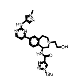 Cn1cc(Nc2nccc(-c3ccc4c(c3)CCN(CCO)CC4NC(=O)c3cn(C(C)(C)C)nn3)n2)cn1